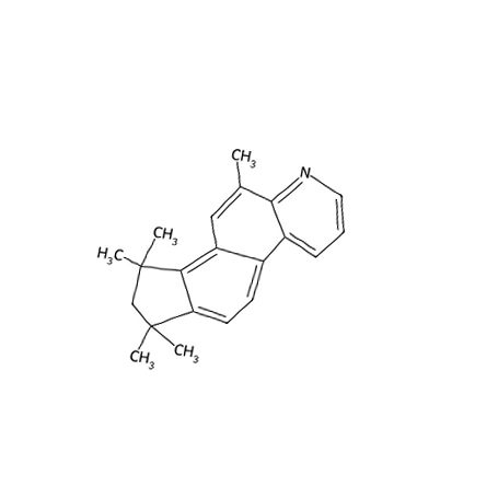 Cc1cc2c3c(ccc2c2cccnc12)C(C)(C)CC3(C)C